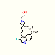 COc1ccc2ncc(F)c(CCCC3(C(=O)O)CN(CCO)C3)c2c1